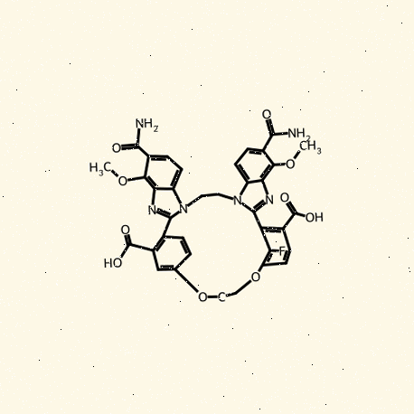 COc1c(C(N)=O)ccc2c1nc1n2CCn2c(nc3c(OC)c(C(N)=O)ccc32)-c2c(C(=O)O)ccc(c2F)OCCOc2ccc-1c(C(=O)O)c2